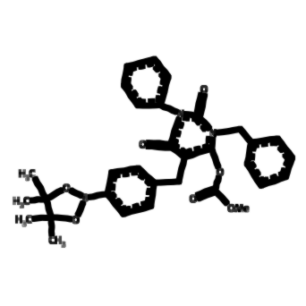 COC(=O)Oc1c(Cc2ccc(B3OC(C)(C)C(C)(C)O3)cc2)c(=O)n(-c2ccccc2)c(=O)n1Cc1ccccc1